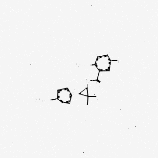 COc1ccc([C@@H]2[C@@H](NC(=O)c3cc(Cl)ccc3OC)C2(C)C)cc1